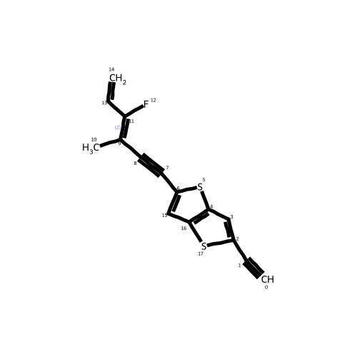 C#Cc1cc2sc(C#C/C(C)=C(\F)C=C)cc2s1